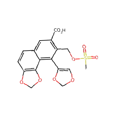 CS(=O)(=O)OCc1c(C(=O)O)cc2ccc3c(c2c1C1=COCO1)OCO3